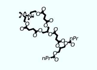 CCCC(=O)OCC(COC(=O)CCC)OC(=O)CCC(=O)OC(COC(=O)CCC(=O)OCC[N+](C)(C)C)COC(=O)CCC(=O)OCC[N+](C)(C)C